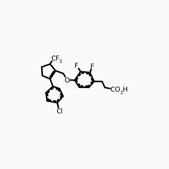 O=C(O)CCc1ccc(OCC2=C(c3ccc(Cl)cc3)CCC2C(F)(F)F)c(F)c1F